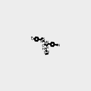 COc1ccc(-c2csc(N3N=C(c4ccc(C#N)cc4)/C(=N/Nc4nccs4)C3=O)n2)cc1